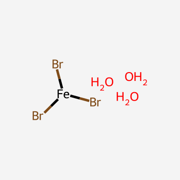 O.O.O.[Br][Fe]([Br])[Br]